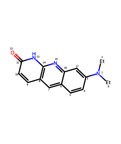 CCN(CC)c1ccc2cc3ccc(=O)[nH]c3nc2c1